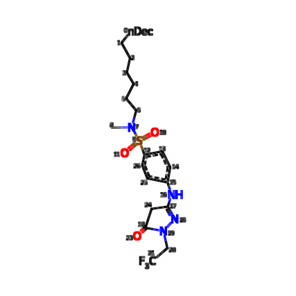 CCCCCCCCCCCCCCCCN(C)S(=O)(=O)c1ccc(NC2=NN(CC(F)(F)F)C(=O)C2)cc1